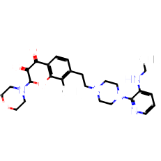 CCNc1cccnc1N1CCN(CCc2ccc3c(c2C)OC(N2CCOCC2)C(=O)C3=O)CC1